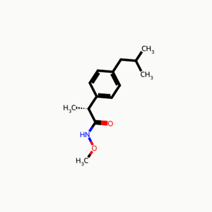 CONC(=O)[C@H](C)c1ccc(CC(C)C)cc1